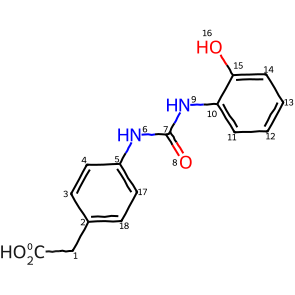 O=C(O)Cc1ccc(NC(=O)Nc2ccccc2O)cc1